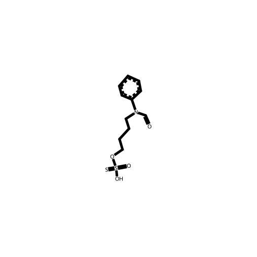 O=CN(CCCCOS(=O)(O)=S)c1ccccc1